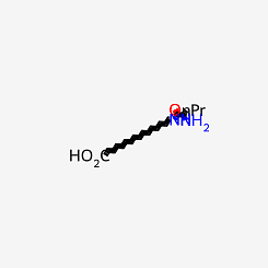 CCCC(N)C(=O)NCCCCCCCCCCCCCCCC(=O)O